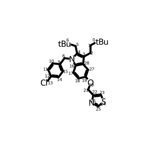 CC(C)(C)CCc1c(CC(C)(C)C)n(Cc2ccc(Cl)cc2)c2ccc(OCc3cscn3)cc12